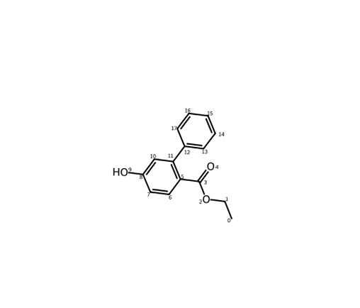 CCOC(=O)c1ccc(O)cc1-c1ccccc1